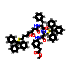 COC(=O)Cc1cccc(NC(=O)[C@@H](CSC(c2ccccc2)(c2ccccc2)c2ccccc2)NC(=O)[C@@H](Cc2ccccc2)NC(=O)C[C@H](O)/C=C/CCSC(c2ccccc2)(c2ccccc2)c2ccccc2)c1